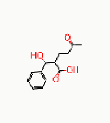 CC(=O)CCC(C(=O)O)[C@@H](O)c1ccccc1